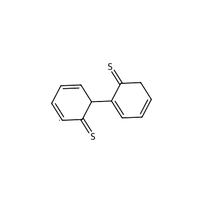 S=C1CC=CC=C1C1C=CC=[C]C1=S